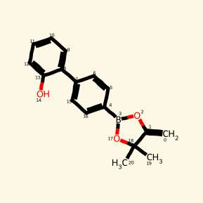 C=C1OB(c2ccc(-c3ccccc3O)cc2)OC1(C)C